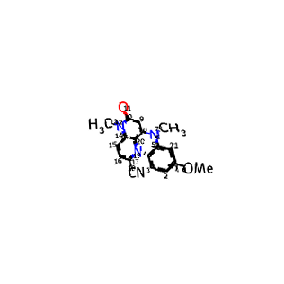 COc1cccc(N(C)c2cc(=O)n(C)c3ccc(C#N)nc23)c1